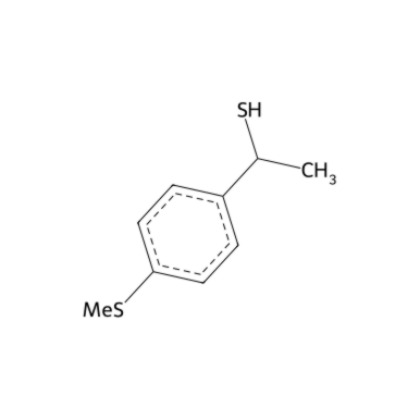 CSc1ccc(C(C)S)cc1